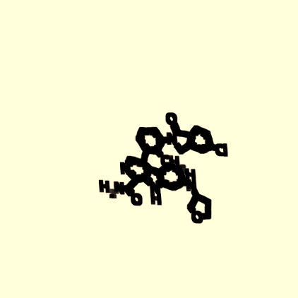 Cc1c(-c2cnc(C(N)=O)c3[nH]c4cc(NC5CCOC5)ccc4c23)cccc1N1Cc2cc(Cl)ccc2C1=O